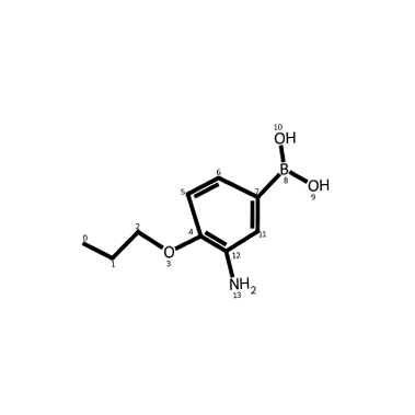 CCCOc1ccc(B(O)O)cc1N